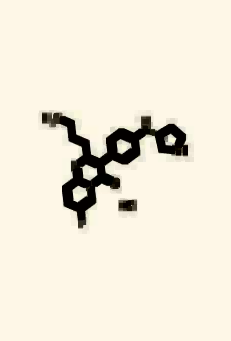 CCCCc1nc2ccc(F)cn2c(=O)c1-c1ccc(N[C@@H]2CCNC2)cc1.Cl